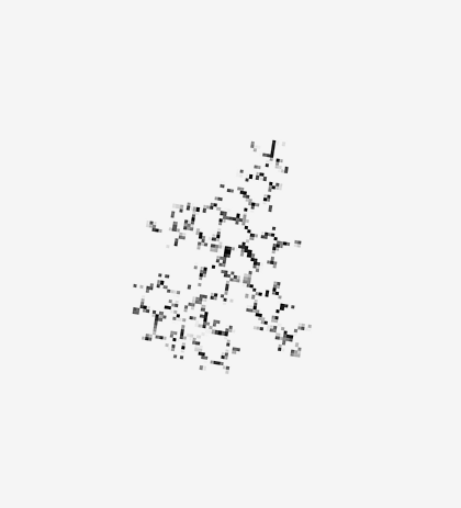 Cc1cc2c3c(c1)N(c1ccc(C(C)(C)C)cc1C)c1ccc(C(C)(C)C)cc1B3c1ccc(N3c4ccccc4C4(C)CCc5ccccc5C34C)cc1N2c1ccc(C(C)(C)C)cc1